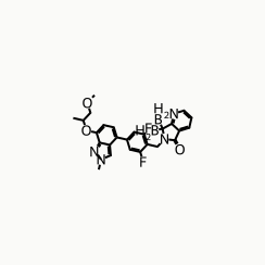 BC1(B)c2ncccc2C(=O)N1Cc1c(F)cc(-c2ccc(OC(C)COC)c3nn(C)cc23)cc1F